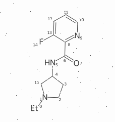 CCN1CCC(NC(=O)c2ncccc2F)C1